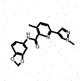 Cc1ccc(-c2cnn(C)c2)nc1C(=O)Nc1ccc2c(c1)OCO2